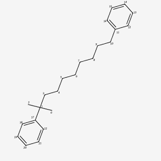 CC(C)(CCCCCCCCc1[c]cccc1)c1ccccc1